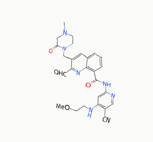 COCCNc1cc(NC(=O)c2cccc3cc(CN4CCN(C)CC4=O)c(C=O)nc23)ncc1C#N